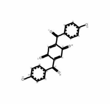 O=C1C=C(C(=O)c2ccc(Cl)cc2)C(=O)C=C1C(=O)c1ccc(Cl)cc1